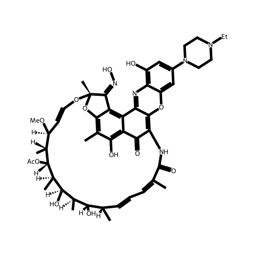 CCN1CCN(c2cc(O)c3nc4c5c6c7c(C)c(O)c5c(=O)c(c-4oc3c2)NC(=O)/C(C)=C\C=C\[C@H](C)[C@H](O)[C@@H](C)[C@@H](O)[C@@H](C)[C@H](OC(C)=O)[C@H](C)[C@@H](OC)/C=C/O[C@@](C)(O7)/C6=N\O)CC1